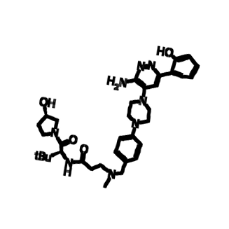 CN(CCC(=O)N[C@H](C(=O)N1CC[C@@H](O)C1)C(C)(C)C)Cc1ccc(N2CCN(c3cc(-c4ccccc4O)nnc3N)CC2)cc1